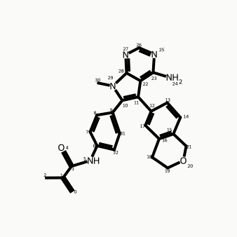 C=C(C)C(=O)Nc1ccc(-c2c(-c3ccc4c(c3)CCOC4)c3c(N)ncnc3n2C)cc1